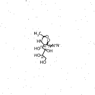 CC(=O)N[C@@H](C(=O)N=[N+]=[N-])[C@@H](O)[C@@H](O)[C@H](O)CO